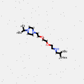 CCCCCCC(CCCC)CNCCOCCOCCN1CCN(C(CC)CCCC)CC1